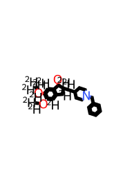 [2H]c1c2c(c([2H])c(OC([2H])([2H])[2H])c1OC([2H])([2H])[2H])C(=O)C([2H])(C([2H])([2H])C1CCN(Cc3ccccc3)CC1)C2